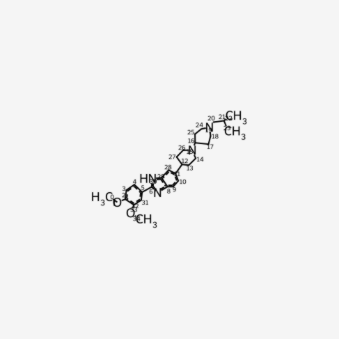 COc1ccc(-c2nc3ccc(C4CCN(C5CCN(CC(C)C)CC5)CC4)cc3[nH]2)cc1OC